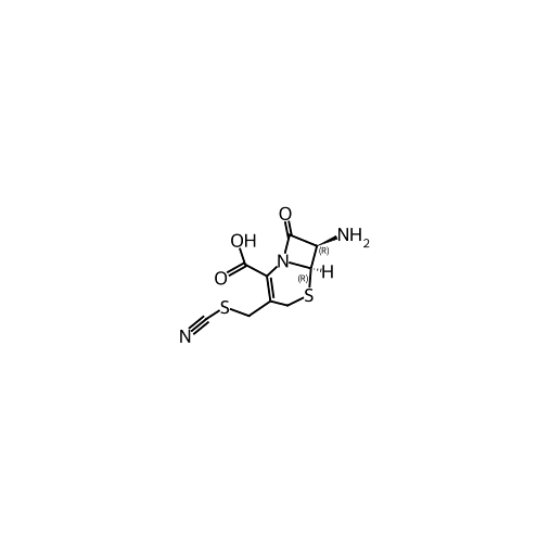 N#CSCC1=C(C(=O)O)N2C(=O)[C@@H](N)[C@H]2SC1